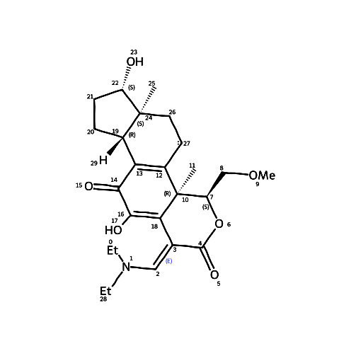 CCN(/C=C1/C(=O)O[C@H](COC)[C@]2(C)C3=C(C(=O)C(O)=C12)[C@@H]1CC[C@H](O)[C@@]1(C)C[C]3)CC